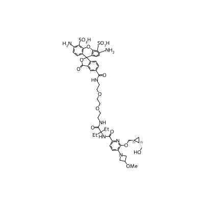 CCC(CC)(NC(=O)c1ccc(N2CC(OC)C2)c(OC[C@H]2C[C@@H]2CO)n1)C(=O)NCCOCCOCCNC(=O)c1ccc2c(c1)C(=O)OC21c2ccc(N)c(S(=O)(=O)O)c2Oc2c1ccc(N)c2S(=O)(=O)O